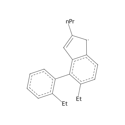 CCCC1=Cc2c(ccc(CC)c2-c2ccccc2CC)[CH]1